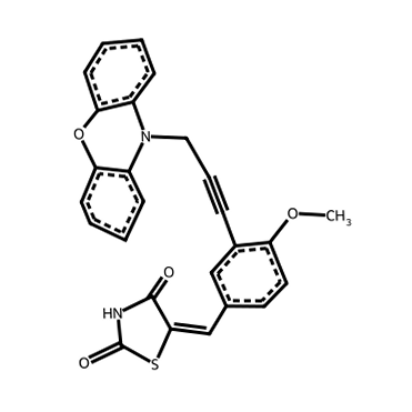 COc1ccc(C=C2SC(=O)NC2=O)cc1C#CCN1c2ccccc2Oc2ccccc21